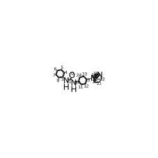 O=C(Nc1ccccc1)Nc1ccc(N2CCN3CCC2CC3)cc1